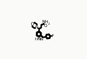 NC(=O)CCC(c1ccc2[nH]nc(-c3ccc(F)cc3)c2c1)N1CCOCC1